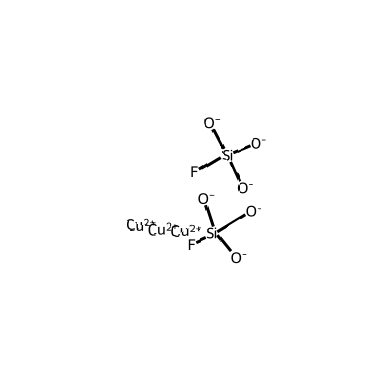 [Cu+2].[Cu+2].[Cu+2].[O-][Si]([O-])([O-])F.[O-][Si]([O-])([O-])F